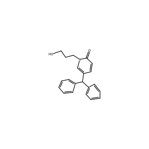 O=c1ccc(C(c2ccccc2)c2ccccc2)cn1CCCO